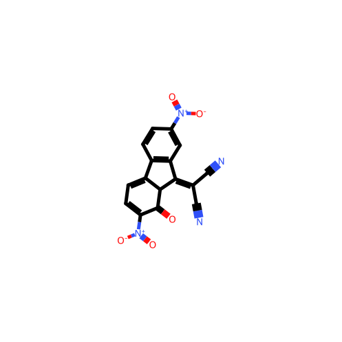 N#CC(C#N)=C1c2cc([N+](=O)[O-])ccc2C2=CC=C([N+](=O)[O-])C(=O)C21